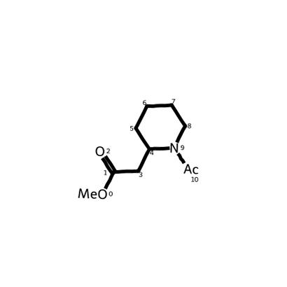 COC(=O)CC1CCCCN1C(C)=O